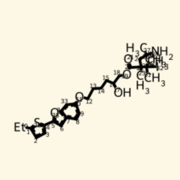 CCc1ccc(-c2cc3ccc(OCCCCC(O)COC(=O)C(C)(CC(C)(C)N)C(C)(C)I)cc3o2)s1